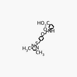 Cc1cc(C)nc(SCc2ccc(OCC(=O)Nc3cccc(C(=O)O)c3)cc2)n1